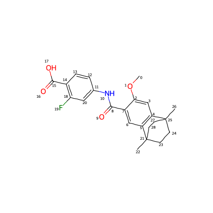 COc1cc2c(cc1C(=O)Nc1ccc(C(=O)O)c(F)c1)C1(C)CCC2(C)CC1